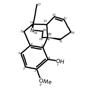 COc1ccc2c(c1O)[C@@]13CCC=CC1C(C2)N(C)CC3